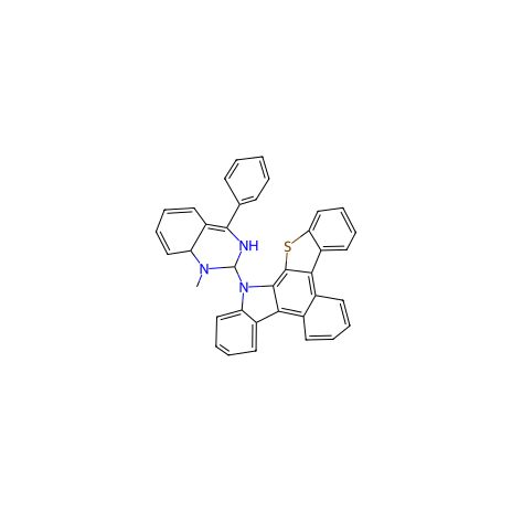 CN1C2C=CC=CC2=C(c2ccccc2)NC1n1c2ccccc2c2c3ccccc3c3c4ccccc4sc3c21